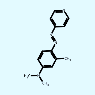 Cc1cc(N(C)C)ccc1/N=N/c1ccncc1